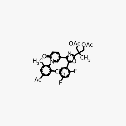 CC(=O)OCC(C)(COC(C)=O)c1nc(-c2ccc(=O)n(-c3c(C)cc(C(C)=O)cc3C)c2)c(-c2ccc(F)cc2F)o1